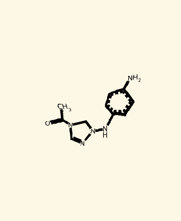 CC(=O)N1C=NN(Nc2ccc(N)cc2)C1